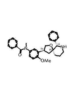 COc1ccc(N(C)C(=O)c2ccccc2)cc1[C@H]1CO[C@]2(CCCN[C@H]2c2ccccc2)C1